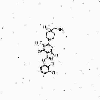 Cn1c(N2CCC(C)(CN)CC2)nc2[nH]nc(Oc3cccc(Cl)c3Cl)c2c1=O